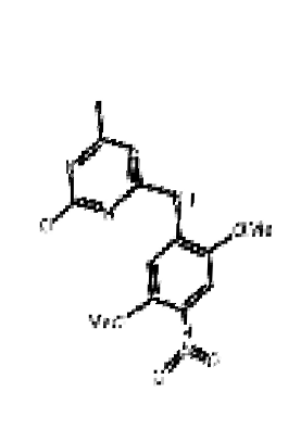 COc1cc([SH](=O)=O)c(OC)cc1Nc1nc(C)nc(Cl)n1